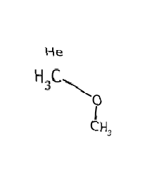 COC.[He]